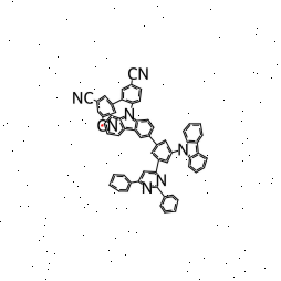 N#Cc1cc(C#N)cc(-c2cc(C#N)ccc2-n2c3ccccc3c3cc(-c4cc(-c5cc(-c6ccccc6)nc(-c6ccccc6)n5)cc(-n5c6ccccc6c6ccccc65)c4)ccc32)c1